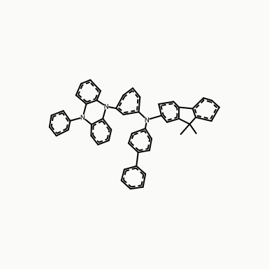 CC1(C)c2ccccc2-c2ccc(N(c3ccc(-c4ccccc4)cc3)c3cccc(N4c5ccccc5N(c5ccccc5)c5ccccc54)c3)cc21